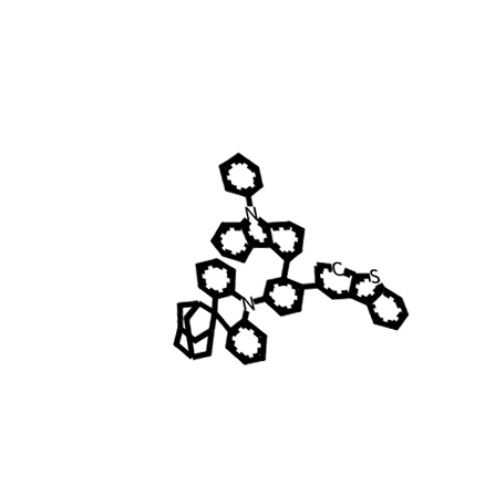 c1ccc(-n2c3ccccc3c3c(-c4cc(N5c6ccccc6C6(c7ccccc75)C5CC7CC(C5)CC6C7)ccc4-c4ccc5sc6ccccc6c5c4)cccc32)cc1